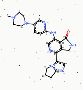 CN1CCN(c2ccc(Nc3cnc(-c4cnc5n4CCC5)c4c3C(=O)NC4)nc2)CC1